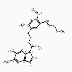 CCCCNc1cc(CCCC(C)n2nnc3cc(C)c(C)cc32)c(C)cc1N=N